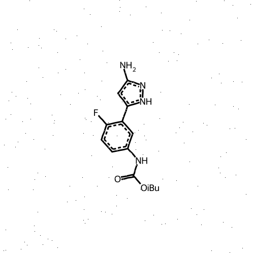 CC(C)COC(=O)Nc1ccc(F)c(-c2cc(N)n[nH]2)c1